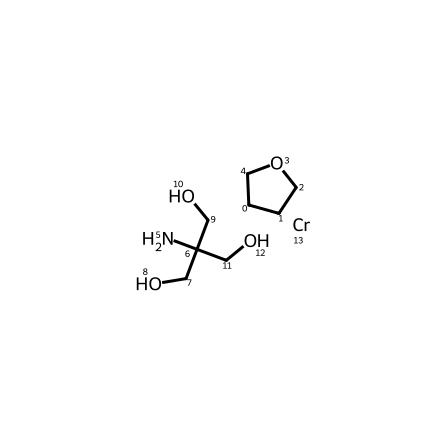 C1CCOC1.NC(CO)(CO)CO.[Cr]